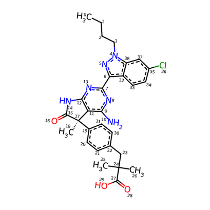 CCCCn1nc(-c2nc(N)c3c(n2)NC(=O)[C@]3(C)c2ccc(CC(C)(C)C(=O)O)cc2)c2ccc(Cl)cc21